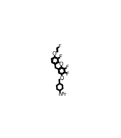 CCCC1CCC(COc2cc3c(c(F)c2F)Oc2c(ccc(OCCF)c2F)C3)CC1